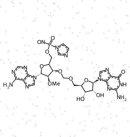 CO[C@@H]1[C@H](OCOC[C@H]2O[C@@H](n3cnc4c(=O)[nH]c(N)nc43)[C@H](O)[C@@H]2O)C(COP(=O)(N=O)n2ccnc2)O[C@H]1n1cnc2c(N)ncnc21